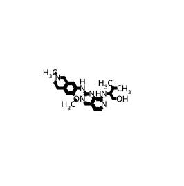 COc1cc2c(cc1Nc1ncc3ccnc(NC(CO)C(C)C)c3n1)CN(C)CC2